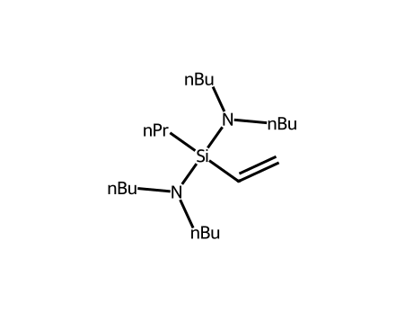 C=C[Si](CCC)(N(CCCC)CCCC)N(CCCC)CCCC